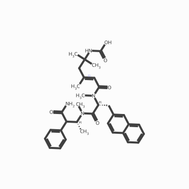 C/C(=C\C(=O)N(C)[C@H](Cc1ccc2ccccc2c1)C(=O)N(C)[C@H](C)C(C(N)=O)c1ccccc1)CC(C)(C)NC(=O)O